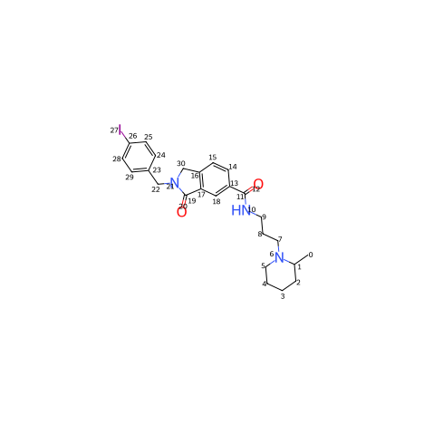 CC1CCCCN1CCCNC(=O)c1ccc2c(c1)C(=O)N(Cc1ccc(I)cc1)C2